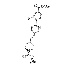 COC(=O)c1ccc(-c2ccc(OCC3CCN(C(=O)OC(C)(C)C)CC3)cn2)c(F)c1